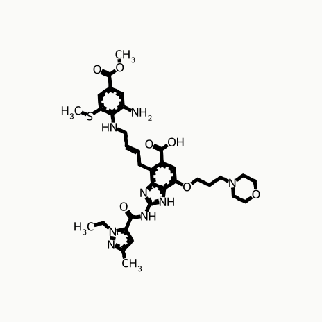 CCn1nc(C)cc1C(=O)Nc1nc2c(CC=CCNc3c(N)cc(C(=O)OC)cc3SC)c(C(=O)O)cc(OCCCN3CCOCC3)c2[nH]1